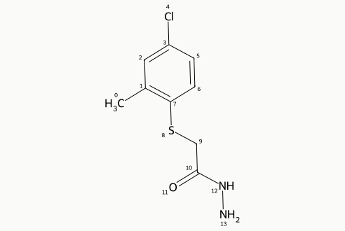 Cc1cc(Cl)ccc1SCC(=O)NN